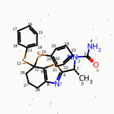 CC(NC(N)=O)c1nc2c(s1)C(Sc1ccccc1)(Sc1ccccc1)CCC2